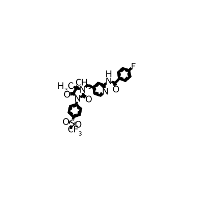 CC1(C)C(=O)N(c2ccc(S(=O)(=O)C(F)(F)F)cc2)C(=O)N1Cc1ccnc(NC(=O)c2ccc(F)cc2)c1